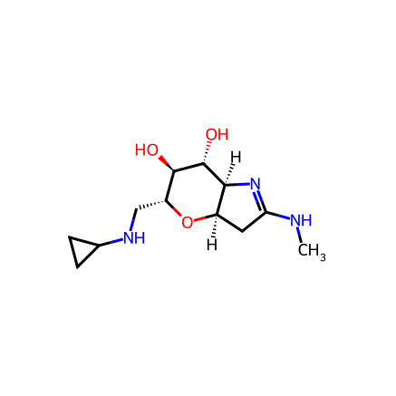 CNC1=N[C@@H]2[C@@H](O)[C@H](O)[C@@H](CNC3CC3)O[C@@H]2C1